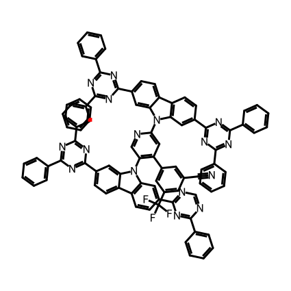 N#Cc1cc(-c2cc(-n3c4cc(-c5nc(-c6ccccc6)nc(-c6ccccc6)n5)ccc4c4ccc(-c5nc(-c6ccccc6)nc(-c6ccccc6)n5)cc43)ncc2-n2c3cc(-c4ncnc(-c5ccccc5)n4)ccc3c3ccc(-c4nc(-c5ccccc5)nc(-c5ccccc5)n4)cc32)cc(C(F)(F)F)c1